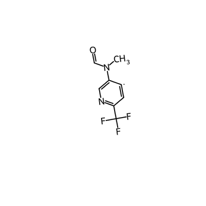 CN(C=O)c1[c]cc(C(F)(F)F)nc1